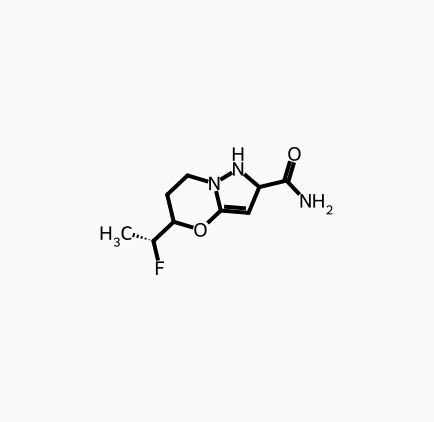 C[C@@H](F)C1CCN2NC(C(N)=O)C=C2O1